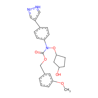 COc1cccc(COC(=O)N(OC2CCC(O)C2)c2ccc(-c3cn[nH]c3)cc2)c1